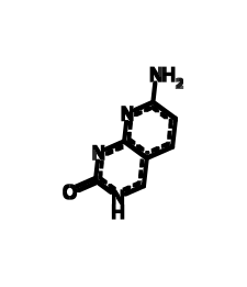 Nc1ccc2c[nH]c(=O)nc2n1